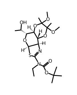 CCN(C(=O)OC(C)(C)C)C1=N[C@@H]2[C@H]3OC(C)(OC)C(C)(OC)O[C@@H]3[C@@H](C(C)O)O[C@@H]2S1